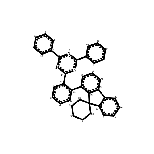 c1ccc(-c2nc(-c3ccccc3)nc(-c3ccccc3-c3cccc4c3C3(CCCCC3)c3ccccc3-4)n2)cc1